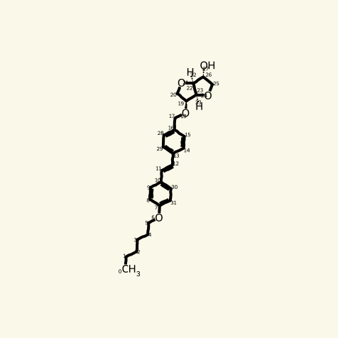 CCCCCCOc1ccc(/C=C/c2ccc(CO[C@H]3CO[C@@H]4[C@H]3OC[C@H]4O)cc2)cc1